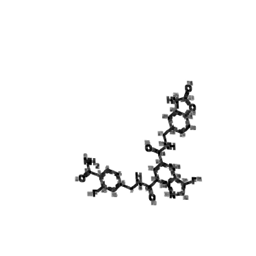 NC(=O)c1ccc(CNC(=O)c2cc(C(=O)NCc3ccc4oc(=O)[nH]c4c3)nc3c(F)cnn23)cc1F